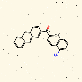 C=C(/C=C\c1ccccc1N)C(=O)c1ccc2cc3ccccc3cc2c1